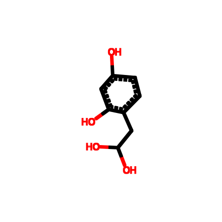 Oc1ccc(CC(O)O)c(O)c1